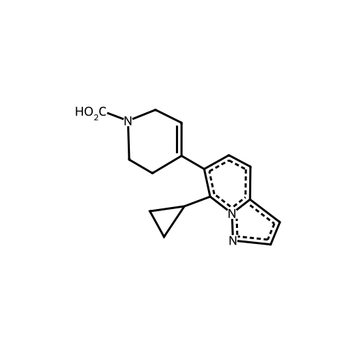 O=C(O)N1CC=C(c2ccc3ccnn3c2C2CC2)CC1